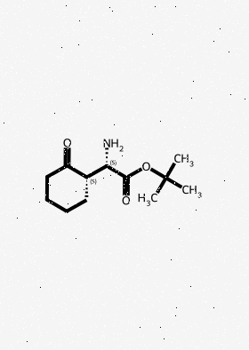 CC(C)(C)OC(=O)[C@@H](N)[C@@H]1CCCCC1=O